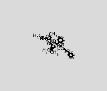 C=CCNC(=O)C(=O)C(CCC)NC(=O)C1C2C(CN1C(=O)C(NC(=O)OCCCc1ccccc1)C1CCCCC1)C2(C)C